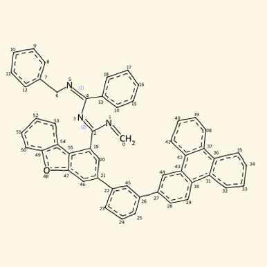 C=N/C(=N\C(=N/Cc1ccccc1)c1ccccc1)c1cc(-c2cccc(-c3ccc4c5ccccc5c5ccccc5c4c3)c2)cc2oc3ccccc3c12